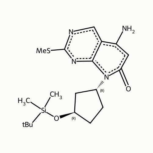 CSc1ncc2c(N)cc(=O)n([C@@H]3CC[C@@H](O[Si](C)(C)C(C)(C)C)C3)c2n1